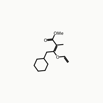 C=COC(CC1CCCCC1)=C(C)C(=O)OC